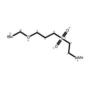 CNCCS(=O)(=O)CCCOCC(C)(C)C